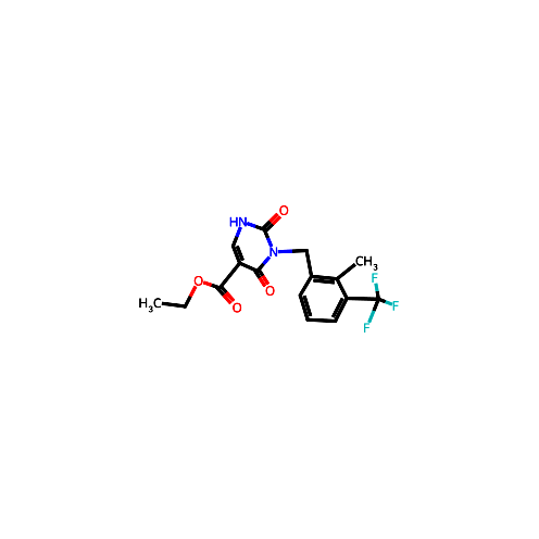 CCOC(=O)c1c[nH]c(=O)n(Cc2cccc(C(F)(F)F)c2C)c1=O